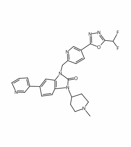 CN1CCC(n2c(=O)n(Cc3ccc(-c4nnc(C(F)F)o4)cn3)c3cc(-c4cccnc4)ccc32)CC1